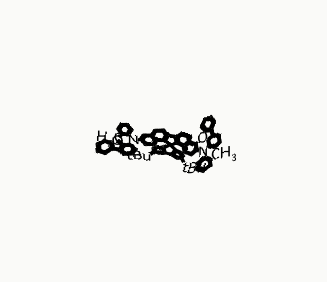 Cc1ccccc1N(c1ccc2c3c(ccc2c1)-c1ccc2cc(N(c4ccccc4C)c4cccc5c4oc4ccccc45)ccc2c1C31c2ccc(C(C)(C)C)cc2-c2cc(C(C)(C)C)ccc21)c1cccc2c1oc1ccccc12